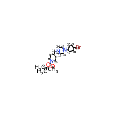 CC(C)(C)OC(=O)N1CCC(CN2CCN(c3ccc(Br)cc3)CC2)CC1